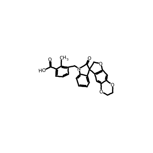 Cc1c(CN2C(=O)C3(COc4cc5c(cc43)OCCO5)c3ccccc32)cccc1C(=O)O